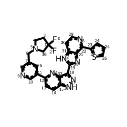 FC1(F)CCN(Cc2cncc(-c3ccc4[nH]nc(-c5nc6c(-c7cccs7)nccc6[nH]5)c4n3)c2)C1